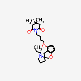 CCCN1CCCC12COc1cccc(OCCCCN3C(=O)CC(C)(C)CC3=O)c1C2